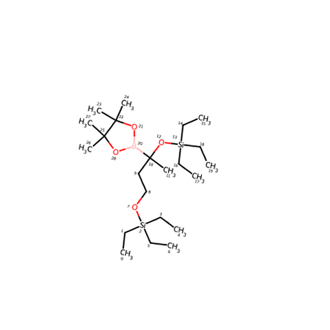 CC[Si](CC)(CC)OCCC(C)(O[Si](CC)(CC)CC)B1OC(C)(C)C(C)(C)O1